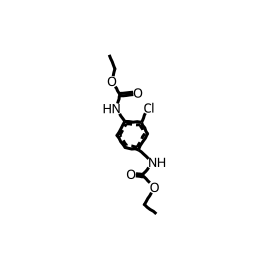 CCOC(=O)Nc1ccc(NC(=O)OCC)c(Cl)c1